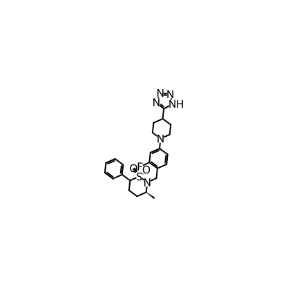 C[C@H]1CCC(c2ccccc2)S(=O)(=O)N1Cc1ccc(N2CCC(c3nnn[nH]3)CC2)cc1F